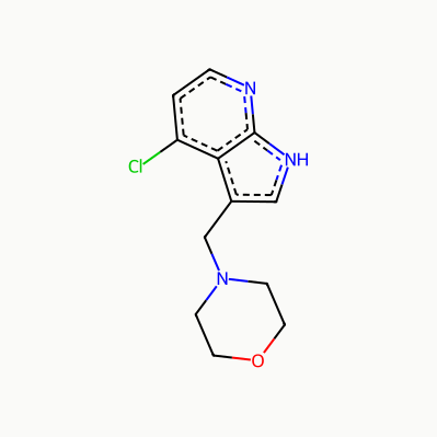 Clc1ccnc2[nH]cc(CN3CCOCC3)c12